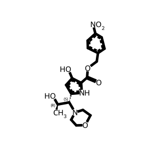 C[C@@H](O)[C@H](c1cc(O)c(C(=O)OCc2ccc([N+](=O)[O-])cc2)[nH]1)N1CCOCC1